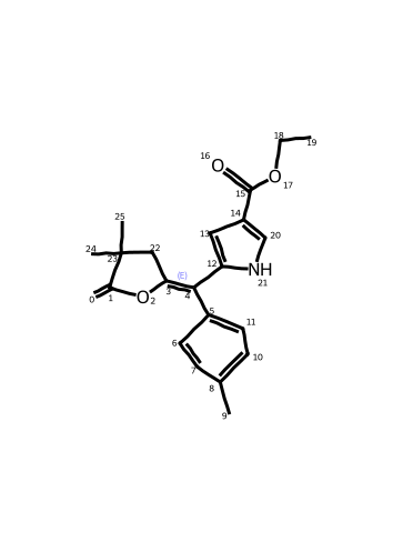 C=C1O/C(=C(\c2ccc(C)cc2)c2cc(C(=O)OCC)c[nH]2)CC1(C)C